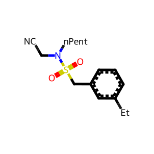 CCCCCN(CC#N)S(=O)(=O)Cc1cccc(CC)c1